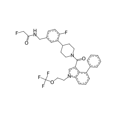 O=C(CF)NCc1ccc(F)c(C2CCN(C(=O)c3cn(CCOC(F)(F)F)c4cccc(-c5ccccc5)c34)CC2)c1